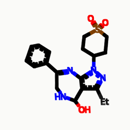 CCc1nn(C2CCS(=O)(=O)CC2)c2c1C(O)NCC(c1ccccc1)=N2